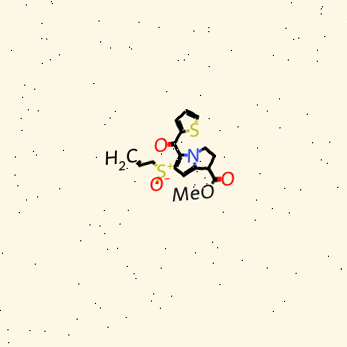 C=CC[S+]([O-])c1cc2n(c1C(=O)c1cccs1)CCC2C(=O)OC